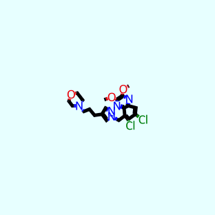 COc1nc2cc(Cl)c(Cl)c(Cn3cc(CCCN4CCOCC4)cn3)c2nc1OC